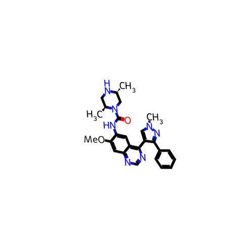 COc1cc2ncnc(-c3cn(C)nc3-c3ccccc3)c2cc1NC(=O)N1C[C@@H](C)NC[C@@H]1C